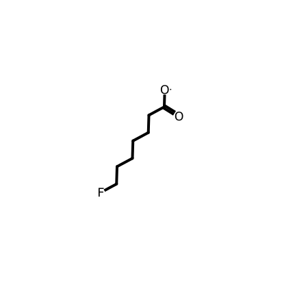 [O]C(=O)CCCCCCF